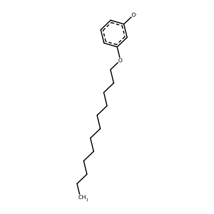 CCCCCCCCCCCCOc1cccc([O])c1